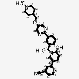 C[C@H](c1cccc(-c2ncc(OCC3CCN(C)CC3)cn2)c1)N1C=C(c2cc(C#N)ccn2)C=CC1O